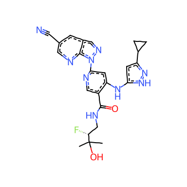 CC(C)(O)[C@H](F)CNC(=O)c1cnc(-n2ncc3cc(C#N)cnc32)cc1Nc1cc(C2CC2)n[nH]1